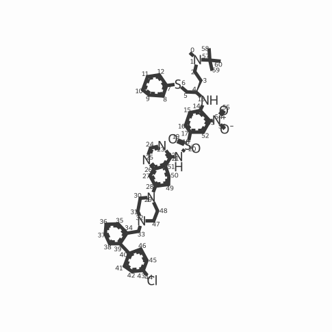 CN(CC[C@H](CSc1ccccc1)Nc1ccc(S(=O)(=O)Nc2ncnc3cc(N4CCN(Cc5ccccc5-c5ccc(Cl)cc5)CC4)ccc23)cc1[N+](=O)[O-])C(C)(C)C